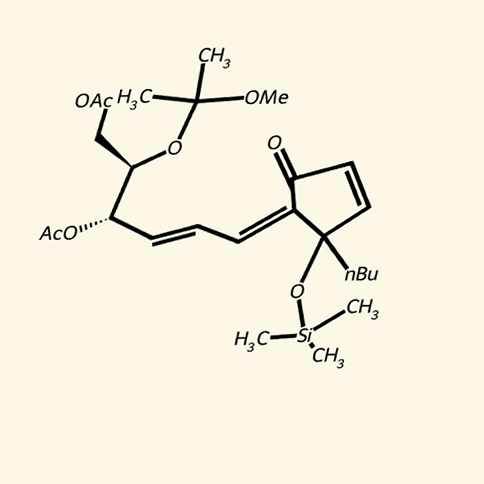 CCCCC1(O[Si](C)(C)C)C=CC(=O)C1=CC=C[C@H](OC(C)=O)[C@@H](COC(C)=O)OC(C)(C)OC